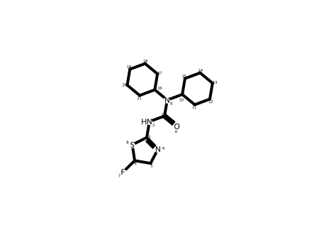 O=C(NC1=NCC(F)S1)N(C1CCCCC1)C1CCCCC1